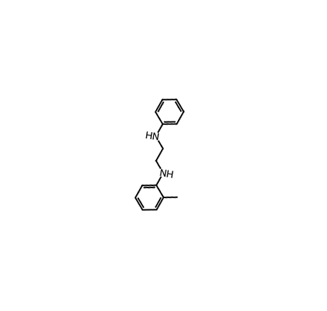 Cc1ccccc1NCCNc1ccccc1